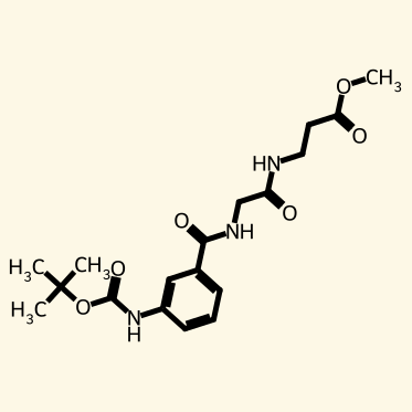 COC(=O)CCNC(=O)CNC(=O)c1cccc(NC(=O)OC(C)(C)C)c1